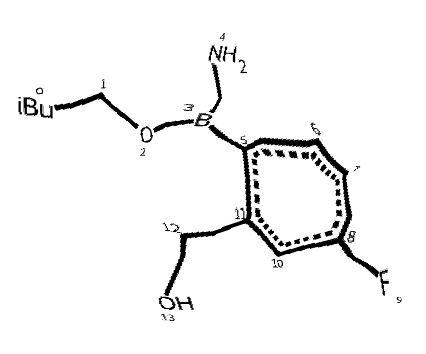 CCC(C)COB(N)c1ccc(F)cc1CO